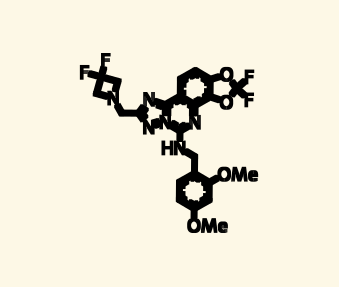 COc1ccc(CNc2nc3c4c(ccc3c3nc(CN5CC(F)(F)C5)nn23)OC(F)(F)O4)c(OC)c1